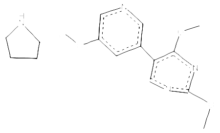 COc1ncc(-c2cncc(OC[C@@H]3CCCN3)c2)c(OC)n1